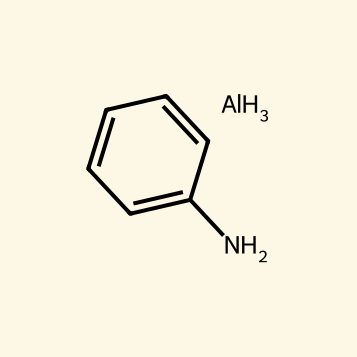 Nc1ccccc1.[AlH3]